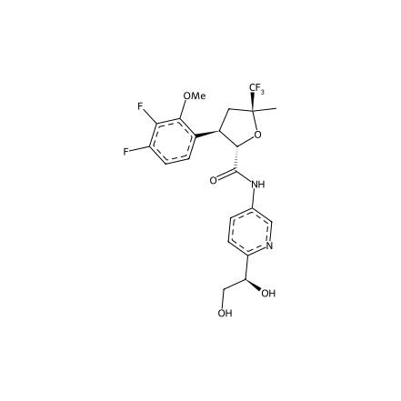 COc1c([C@H]2C[C@@](C)(C(F)(F)F)O[C@@H]2C(=O)Nc2ccc([C@@H](O)CO)nc2)ccc(F)c1F